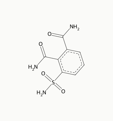 NC(=O)c1cccc(S(N)(=O)=O)c1C(N)=O